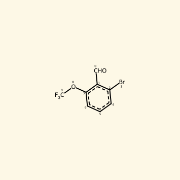 O=Cc1c(Br)cccc1OC(F)(F)F